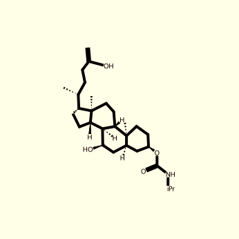 C=C(O)CC[C@@H](C)[C@H]1CC[C@H]2[C@@H]3[C@H](O)C[C@@H]4C[C@H](OC(=O)NC(C)C)CC[C@]4(C)[C@H]3CC[C@]12C